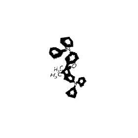 CC1(C)c2ccc(N(c3ccccc3)c3ccccc3)cc2-c2oc3ccc(N(c4ccccc4)c4ccccc4)cc3c21